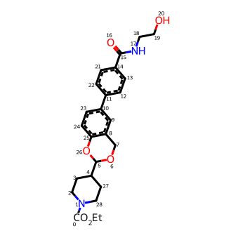 CCOC(=O)N1CCC(C2OCc3cc(-c4ccc(C(=O)NCCO)cc4)ccc3O2)CC1